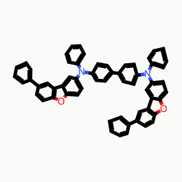 c1ccc(-c2ccc3oc4ccc(N(c5ccccc5)c5ccc(-c6ccc(N(c7ccccc7)c7ccc8oc9ccc(-c%10ccccc%10)cc9c8c7)cc6)cc5)cc4c3c2)cc1